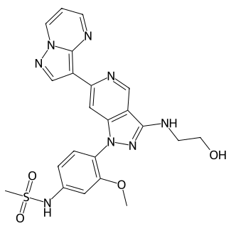 COc1cc(NS(C)(=O)=O)ccc1-n1nc(NCCO)c2cnc(-c3cnn4cccnc34)cc21